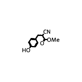 COC(=O)C(C#N)Cc1ccc(O)cc1